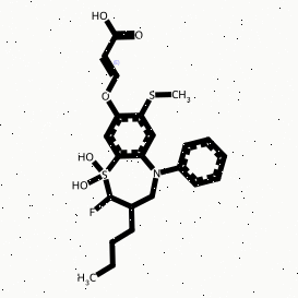 CCCCC1CN(c2ccccc2)c2cc(SC)c(O/C=C/C(=O)O)cc2S(O)(O)C1F